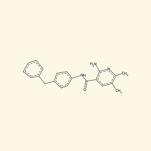 Cc1cc(C(=O)Nc2ccc(Cc3ccccc3)cc2)c(N)nc1C